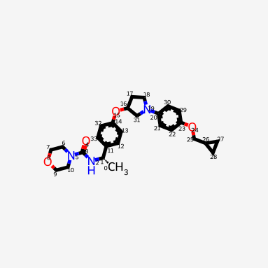 C[C@H](NC(=O)N1CCOCC1)c1ccc(OC2CCN(c3ccc(OCC4CC4)cc3)C2)cc1